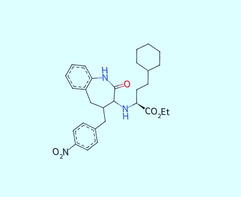 CCOC(=O)[C@H](CCC1CCCCC1)NC1C(=O)Nc2ccccc2CC1Cc1ccc([N+](=O)[O-])cc1